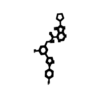 O=C(NCc1cc(F)cc(-c2cnn(-c3ccc(F)cc3)c2)c1)c1ncnc2nc(C3CCCC3)[nH]c12